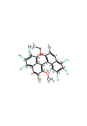 CCOc1c(Br)cc2c(F)c(F)c(F)c(F)c2c1-c1c(OC)c(Br)cc2c(F)c(F)c(F)c(F)c12